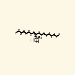 CCCCCCCCCCCCCCCCCC.CNC.Cl